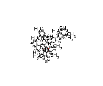 Bc1ccc(N(c2cc3c(cc2C)-c2cc4c(cc2C3)C(C)(C)CCC4(C)C)c2cc(-c3c(C)cc(C)cc3C)cc(-c3c(N)ccc4ccccc34)c2-c2ccc3c(c2)C(C)(C)c2ccccc2-3)c(C)c1